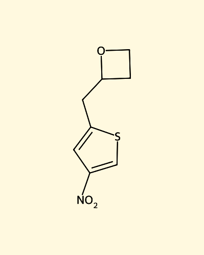 O=[N+]([O-])c1csc(CC2CCO2)c1